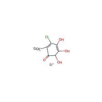 O=C([O-])C1=C(Cl)C(O)=C(O)C(O)C1=O.[Li+]